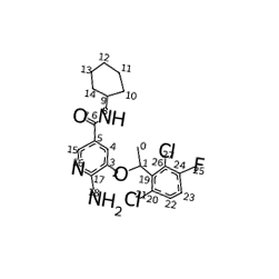 CC(Oc1cc(C(=O)NC2CCCCC2)cnc1N)c1c(Cl)ccc(F)c1Cl